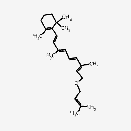 CC(C)=CCOCC=C(C)C=CC=C(C)C=CC1=C(C)CCCC1(C)C